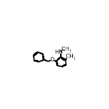 CNc1c(C)cccc1OCc1ccccc1